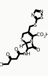 O=C(CCl)CC(=O)NC1C(=O)N2C(C(=O)O)=C(CSc3ncns3)CS[C@@H]12